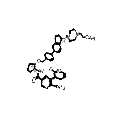 Nc1ncc(C(=O)N[C@H]2CCC[C@@H]2OCc2ccc(-c3ccc4c(c3)CC[C@@H]4N3CCN(CCO)CC3)cc2)cc1-c1cccnc1F